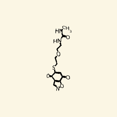 CNC(=O)NCCOCCSC1=CC(=O)c2oncc2C1=O